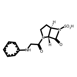 O=C(CNc1ccccc1)N1CC[C@@H]2[C@@H]1C(=O)N2S(=O)(=O)O